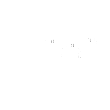 Cc1ccc(CCc2cnc(N)nc2N)cc1